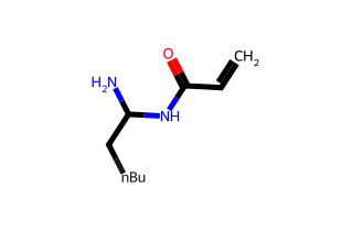 C=CC(=O)NC(N)CCCCC